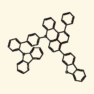 c1ccc(-c2ccccc2-c2ccccc2N(c2ccc(-c3ccc4c(c3)oc3ccccc34)cc2)c2ccc(-c3ccccc3-n3c4ccccc4c4ccccc43)cc2)cc1